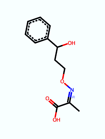 C/C(=N/OCCC(O)c1ccccc1)C(=O)O